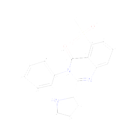 CS(=O)(=O)c1cccc2nc([C@@H]3CCCN3)n(-c3ccccc3)c(=O)c12